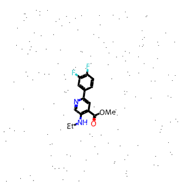 CCNc1cnc(-c2ccc(F)c(F)c2)cc1C(=O)OC